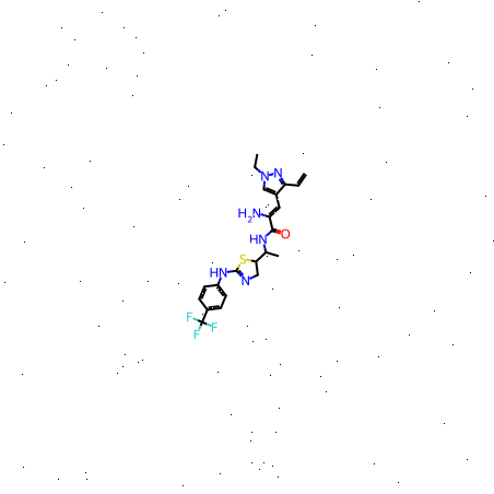 C=Cc1nn(CC)cc1/C=C(\N)C(=O)NC(C)C1CN=C(Nc2ccc(C(F)(F)F)cc2)S1